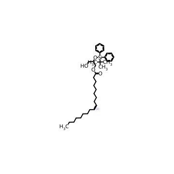 CCCCCCCC/C=C\CCCCCCCC(=O)OCC(CO)O[Si](c1ccccc1)(c1ccccc1)C(C)(C)C